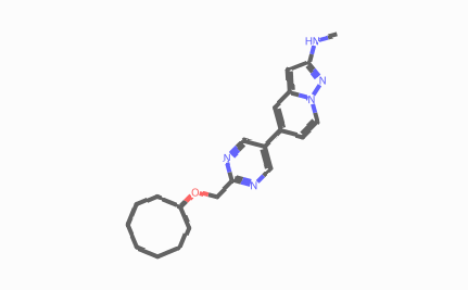 CNc1cc2cc(-c3cnc(COC4CCCCCCC4)nc3)ccn2n1